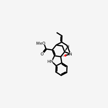 C/C=C1/CN2CC[C@]34C(=C(C(=O)OC)C1C[C@H]23)Nc1ccccc14